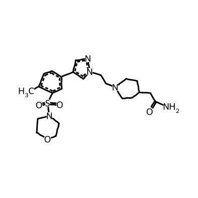 Cc1ccc(-c2cnn(CCN3CCC(CC(N)=O)CC3)c2)cc1S(=O)(=O)N1CCOCC1